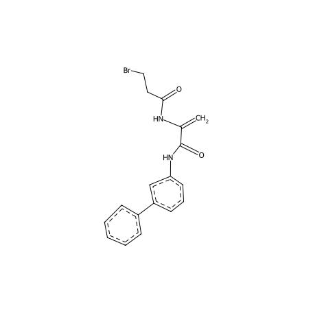 C=C(NC(=O)CCBr)C(=O)Nc1cccc(-c2ccccc2)c1